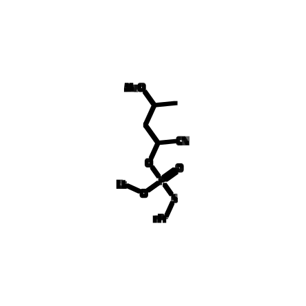 CCCSP(=O)(OCC)OC(C#N)CC(C)OC